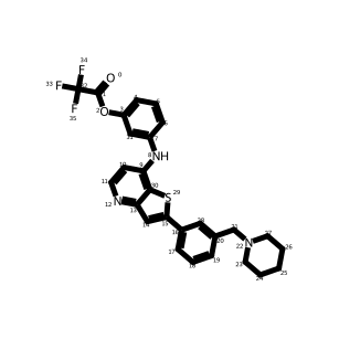 O=C(Oc1cccc(Nc2ccnc3cc(-c4cccc(CN5CCCCC5)c4)sc23)c1)C(F)(F)F